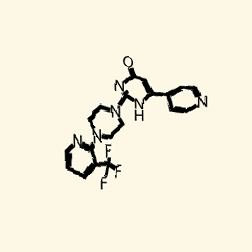 O=c1cc(-c2ccncc2)[nH]c(N2CCN(c3ncccc3C(F)(F)F)CC2)n1